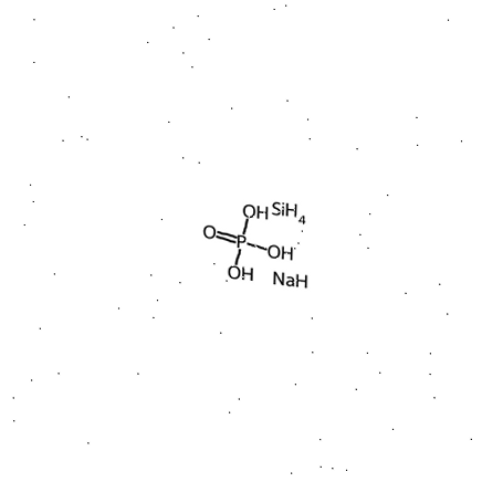 O=P(O)(O)O.[NaH].[SiH4]